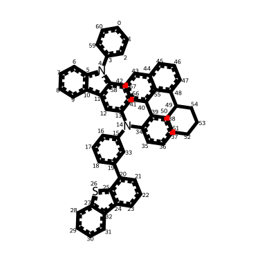 c1ccc(-n2c3ccccc3c3cc(N(c4cccc(-c5cccc6c5sc5ccccc56)c4)c4ccccc4-c4cccc5cccc(C6CCCCC6)c45)ccc32)cc1